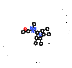 c1ccc(-c2ccc(-c3cc(-c4nc(-c5ccccc5)nc(-c5ccc6c(c5)oc5ccccc56)n4)cc(-c4ccc(-c5ccccc5)cc4)c3-n3c4ccc(-c5ccccc5)cc4c4cc(-c5ccccc5)ccc43)cc2)cc1